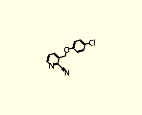 N#Cc1ncccc1COc1ccc(Cl)cc1